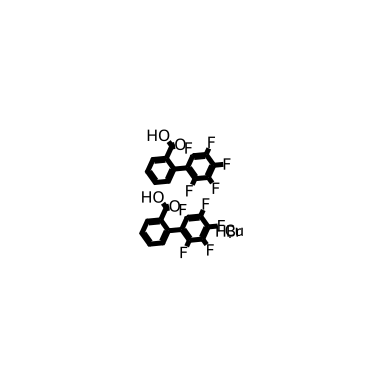 Br.O=C(O)c1ccccc1-c1c(F)c(F)c(F)c(F)c1F.O=C(O)c1ccccc1-c1c(F)c(F)c(F)c(F)c1F.[Cu]